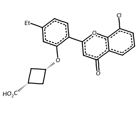 CCc1ccc(-c2cc(=O)c3cccc(Cl)c3o2)c(O[C@H]2C[C@@H](C(=O)O)C2)c1